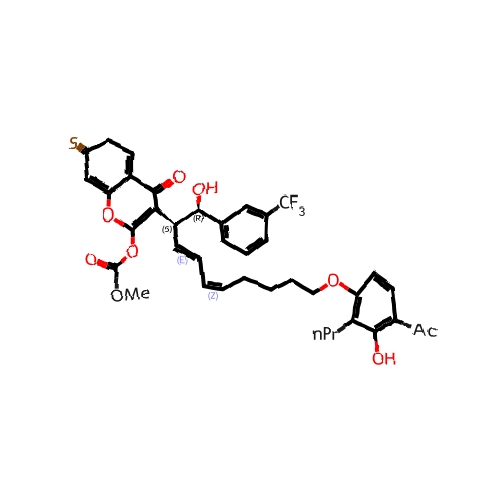 CCCc1c(OCCCC/C=C\C=C\[C@@H](c2c(OC(=O)OC)oc3c(c2=O)=CCC(=S)C=3)[C@@H](O)c2cccc(C(F)(F)F)c2)ccc(C(C)=O)c1O